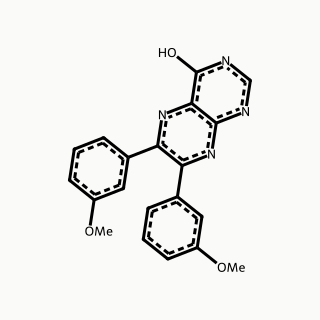 COc1cccc(-c2nc3ncnc(O)c3nc2-c2cccc(OC)c2)c1